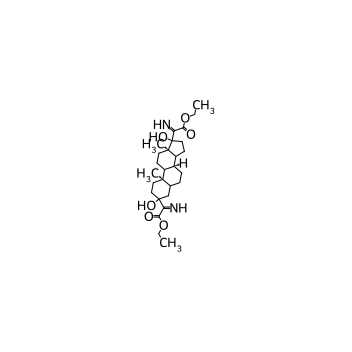 CCOC(=O)C(=N)C1(O)CC[C@@]2(C)C(CC[C@@H]3C2CC[C@@]2(C)C3CCC2(O)C(=N)C(=O)OCC)C1